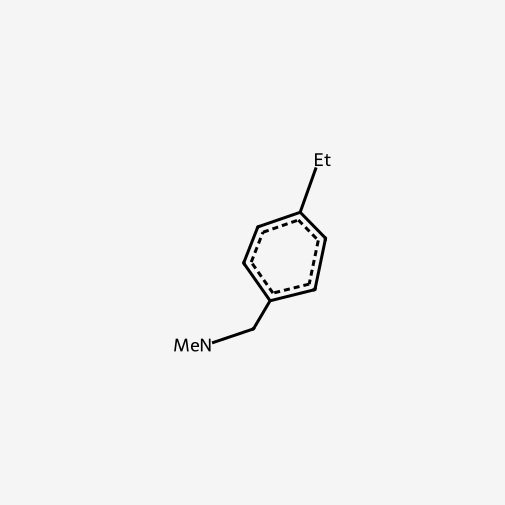 CCc1ccc(CNC)cc1